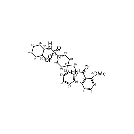 COc1ccccc1C(=O)NCC1(c2ccccc2)CCN(S(=O)(=O)NC2CCCCC2O)CC1